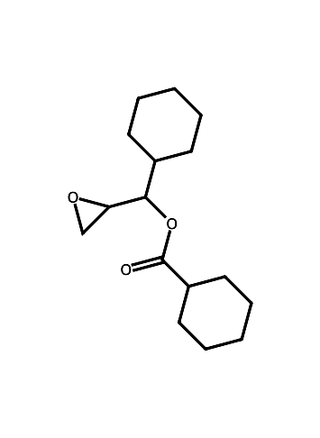 O=C(OC(C1CCCCC1)C1CO1)C1CCCCC1